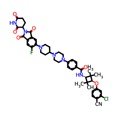 CC1(C)[C@H](NC(=O)c2ccc(N3CCN(C4CCN(c5cc6c(cc5F)C(=O)N(C5CCC(=O)NC5=O)C6=O)CC4)CC3)cc2)C(C)(C)[C@H]1Oc1ccc(C#N)c(Cl)c1